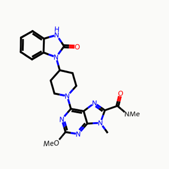 CNC(=O)c1nc2c(N3CCC(n4c(=O)[nH]c5ccccc54)CC3)nc(OC)nc2n1C